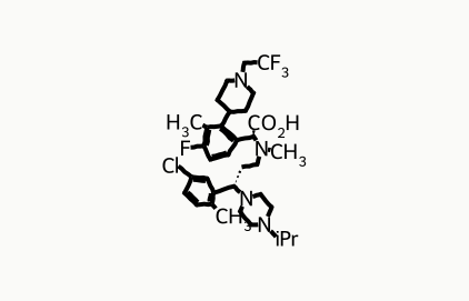 Cc1ccc(Cl)cc1[C@H](CCN(C)[C@@H](C(=O)O)c1ccc(F)c(C)c1C1CCN(CC(F)(F)F)CC1)N1CCN(C(C)C)CC1